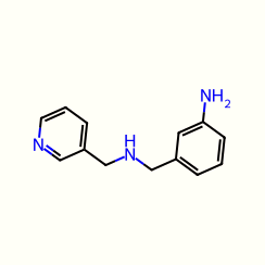 Nc1cccc(CNCc2cccnc2)c1